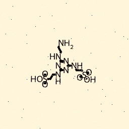 NCCNc1nc(NCCS(=O)(=O)O)nc(NCCS(=O)(=O)O)n1